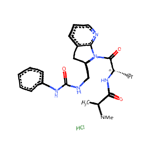 CNC(C)C(=O)N[C@H](C(=O)N1c2ncccc2CC1CNC(=O)Nc1ccccc1)C(C)C.Cl